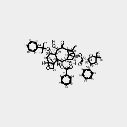 CC1=C2C(=O)[C@H](O)[C@]3(C)[C@@H](OC(C)(C)c4ccccc4)C[C@H]4OC[C@@]4(C)[C@H]3[C@H](OC(=O)c3ccccc3)[C@](O)(C[C@@H]1OC(=O)[C@@H]1OC(C)(C)C[C@@H]1c1ccccc1)C2(C)C